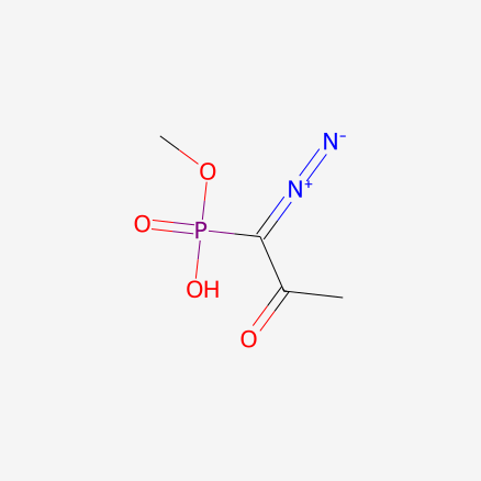 COP(=O)(O)C(=[N+]=[N-])C(C)=O